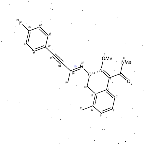 CNC(=O)C(=NOC)c1cccc(C)c1CO/N=C(\C)C#Cc1ccc(F)cc1